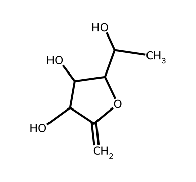 C=C1OC(C(C)O)C(O)C1O